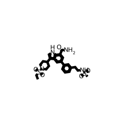 CCS(=O)(=O)N1CCC(c2c[nH]c3c(C(N)=O)cc(-c4cccc(CCNS(C)(=O)=O)c4)cc23)CC1